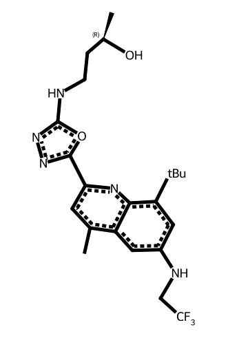 Cc1cc(-c2nnc(NCC[C@@H](C)O)o2)nc2c(C(C)(C)C)cc(NCC(F)(F)F)cc12